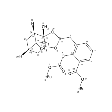 CC(C)(C)OC(=O)Oc1c(CB2OC3C[C@@H]4C[C@@H](C4(C)C)[C@]3(C)O2)cccc1C(=O)OC(C)(C)C